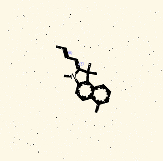 C/C=C/C=C1\N(C)c2ccc3c(C)cccc3c2C1(C)C